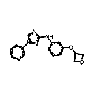 c1ccc(-n2cnc(Nc3cccc(OC4COC4)c3)n2)cc1